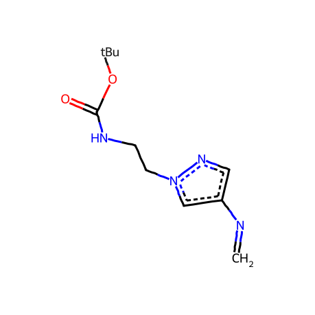 C=Nc1cnn(CCNC(=O)OC(C)(C)C)c1